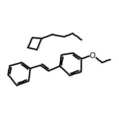 CCCCC1CCC1.CCOc1ccc(C=Cc2ccccc2)cc1